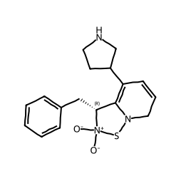 [O-][N+]1([O-])SN2CC=CC(C3CCNC3)=C2[C@H]1Cc1ccccc1